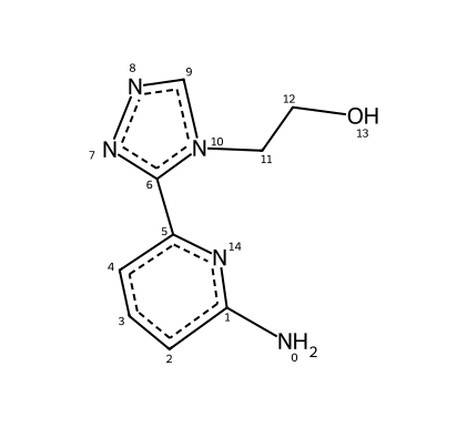 Nc1cccc(-c2nncn2CCO)n1